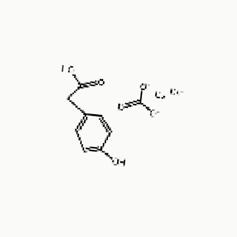 O=C(O)Cc1ccc(O)cc1.O=C([O-])[O-].[Cs+].[Cs+]